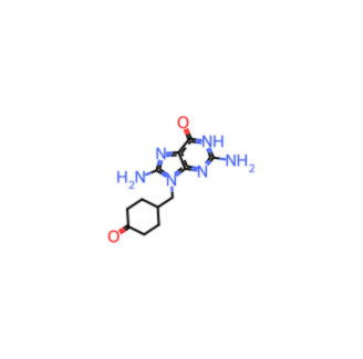 Nc1nc2c(nc(N)n2CC2CCC(=O)CC2)c(=O)[nH]1